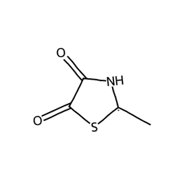 C[C]1NC(=O)C(=O)S1